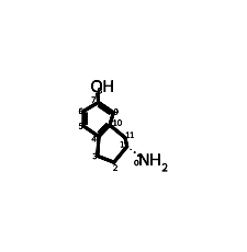 N[C@@H]1CCc2ccc(O)cc2C1